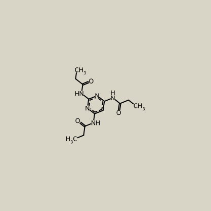 CCC(=O)Nc1cc(NC(=O)CC)nc(NC(=O)CC)n1